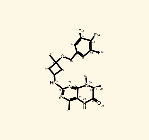 Cc1nc(NC2CC(C)(OCc3cc(F)c(F)c(F)c3)C2)nc2c1NC(=O)[C@H](C)N2C